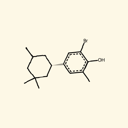 Cc1cc([C@H]2CC(C)CC(C)(C)C2)cc(Br)c1O